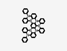 c1ccc(N2c3ccccc3B3c4cc5c6c7c4N(c4ccccc4B7c4ccccc4N6c4cccc6c4B5c4ccccc4N6c4ccccc4)c4cccc2c43)cc1